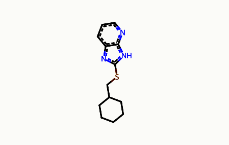 c1cnc2[nH]c(SCC3CCCCC3)nc2c1